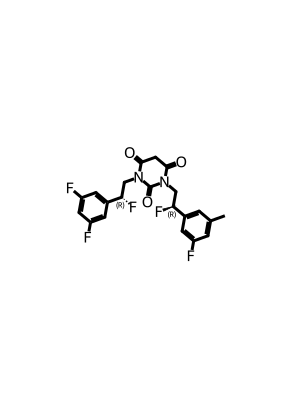 Cc1cc(F)cc([C@@H](F)CN2C(=O)CC(=O)N(C[C@H](F)c3cc(F)cc(F)c3)C2=O)c1